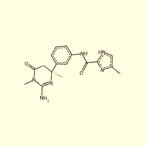 Cc1c[nH]c(C(=O)Nc2cccc([C@]3(C)CC(=O)N(C)C(N)=N3)c2)n1